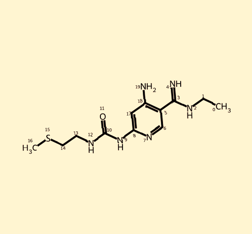 CCNC(=N)c1cnc(NC(=O)NCCSC)cc1N